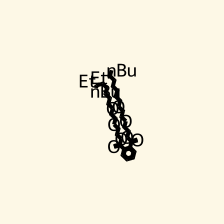 CCCCC(CC)CCCCCOCCOCCOC(=O)c1ccccc1C(=O)OCCOCCOCCCCCC(CC)CCCC